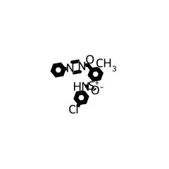 Cc1ccc([S+]([O-])Nc2ccc(Cl)cc2)cc1C(=O)N1CCN(c2ccccc2)CC1